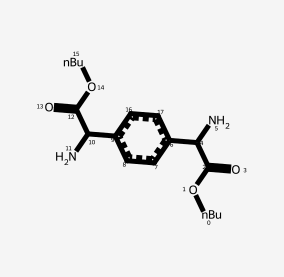 CCCCOC(=O)C(N)c1ccc(C(N)C(=O)OCCCC)cc1